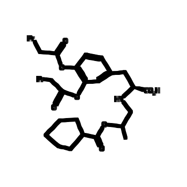 CC(C)CC(=O)Oc1ccc(C[C@H](NCC(C)OC(=O)C2CCCCC2)C(=O)O)cc1OC(=O)CC(C)C